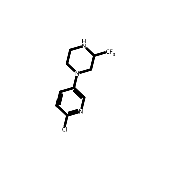 FC(F)(F)C1CN(c2ccc(Cl)nc2)CCN1